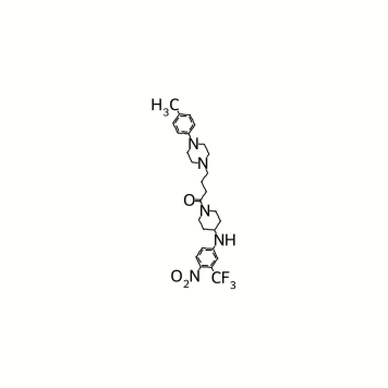 Cc1ccc(N2CCN(CCCC(=O)N3CCC(Nc4ccc([N+](=O)[O-])c(C(F)(F)F)c4)CC3)CC2)cc1